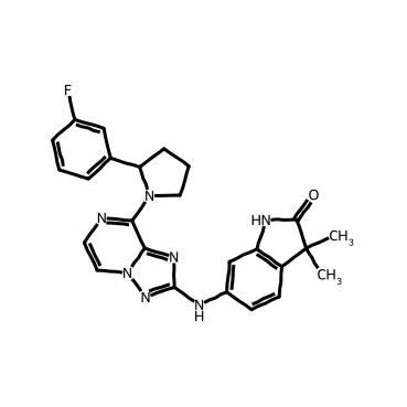 CC1(C)C(=O)Nc2cc(Nc3nc4c(N5CCCC5c5cccc(F)c5)nccn4n3)ccc21